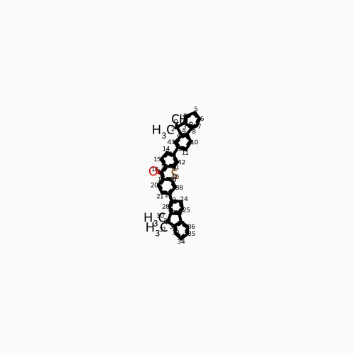 CC1(C)c2ccccc2-c2ccc(-c3ccc4c(=O)c5ccc(-c6ccc7c(c6)C(C)(C)c6ccccc6-7)cc5sc4c3)cc21